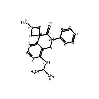 C[C@@H](Nc1ncnc2c1CN(c1ccccc1)C(=O)C21CN(C)C1)C(F)(F)F